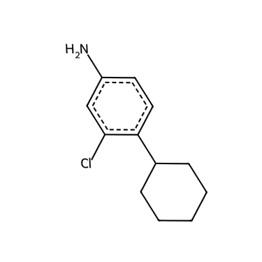 Nc1ccc(C2CCCCC2)c(Cl)c1